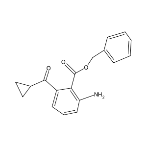 Nc1cccc(C(=O)C2CC2)c1C(=O)OCc1ccccc1